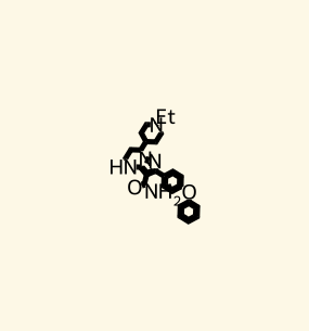 CCN1CCC(C2CCNc3c(C(N)=O)c(-c4ccc(Oc5ccccc5)cc4)nn32)CC1